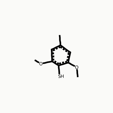 COc1cc(C)cc(OC)c1S